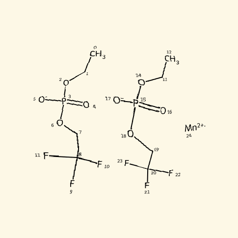 CCOP(=O)([O-])OCC(F)(F)F.CCOP(=O)([O-])OCC(F)(F)F.[Mn+2]